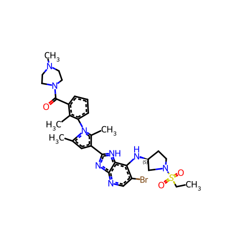 CCS(=O)(=O)N1CC[C@H](Nc2c(Br)cnc3nc(-c4cc(C)n(-c5cccc(C(=O)N6CCN(C)CC6)c5C)c4C)[nH]c23)C1